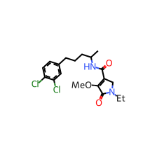 CCN1CC(C(=O)NC(C)CCCc2ccc(Cl)c(Cl)c2)=C(OC)C1=O